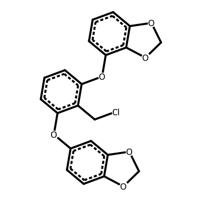 ClCc1c(Oc2ccc3c(c2)OCO3)cccc1Oc1cccc2c1OCO2